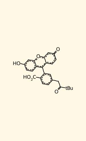 CC(C)(C)C(=O)Cc1ccc(C(=O)O)c(-c2c3ccc(=O)cc-3oc3cc(O)ccc23)c1